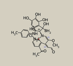 BC(O)(c1c(O)cc(O)c(O)c1O)[C@H](C(=O)Nc1ccc(C)cc1)N(C)/C=C(OC)\C(=C/C=O)c1cc(Cl)ccc1C(C)=O